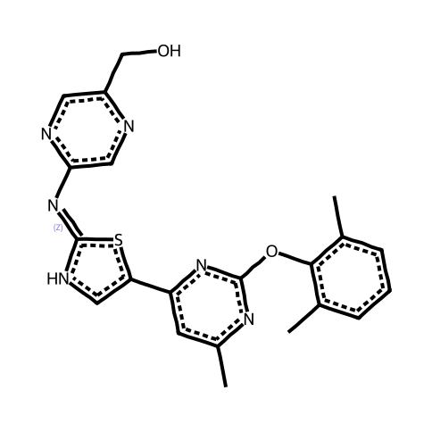 Cc1cc(-c2c[nH]/c(=N/c3cnc(CO)cn3)s2)nc(Oc2c(C)cccc2C)n1